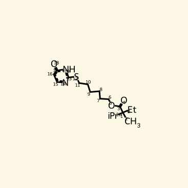 CCC(C)(C(=O)OCCCCCCSc1nccc(=O)[nH]1)C(C)C